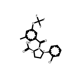 Cc1cc(OC(F)(F)F)cc(C(=O)N2[C@@H](c3ccccc3Cl)CC[C@H]2C(=O)O)c1